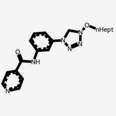 CCCCCCCON1CN(c2cccc(NC(=O)c3ccncc3)c2)N=N1